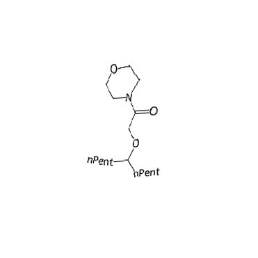 CCCCCC(CCCCC)OCC(=O)N1CCOCC1